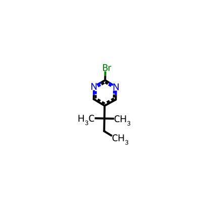 CCC(C)(C)c1cnc(Br)nc1